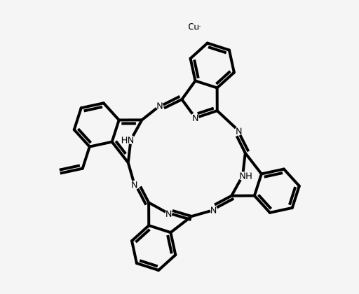 C=Cc1cccc2c3nc4nc(nc5[nH]c(nc6nc(nc([nH]3)c12)-c1ccccc1-6)c1ccccc51)-c1ccccc1-4.[Cu]